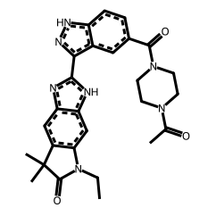 CCN1C(=O)C(C)(C)c2cc3nc(-c4n[nH]c5ccc(C(=O)N6CCN(C(C)=O)CC6)cc45)[nH]c3cc21